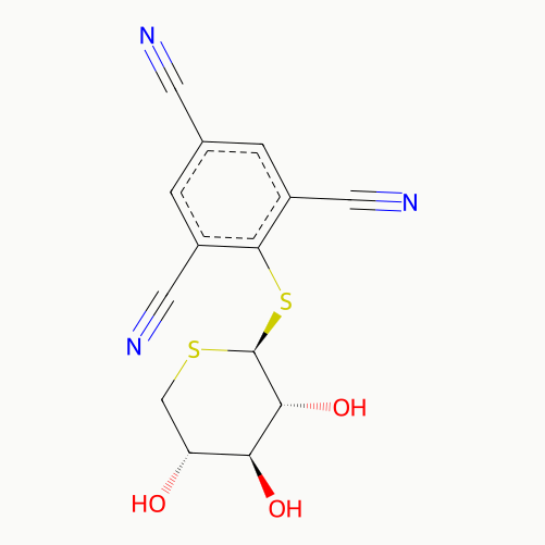 N#Cc1cc(C#N)c(S[C@@H]2SC[C@@H](O)[C@H](O)[C@H]2O)c(C#N)c1